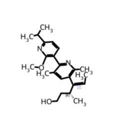 C/C=C(\c1cc(C)c(-c2ccc(C(C)C)nc2OC)nc1C)[C@H](C)CCO